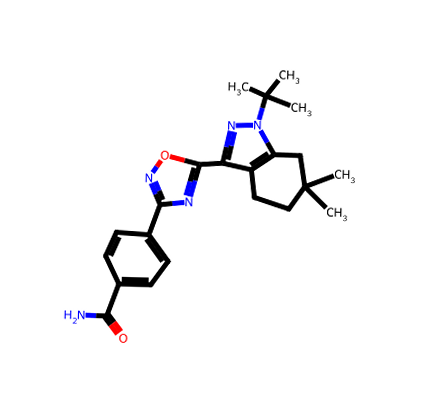 CC1(C)CCc2c(-c3nc(-c4ccc(C(N)=O)cc4)no3)nn(C(C)(C)C)c2C1